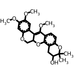 COC1=C2c3cc(OC)c(OC)cc3OCC2Oc2c1ccc1c2CC(O)C(C)(C)O1